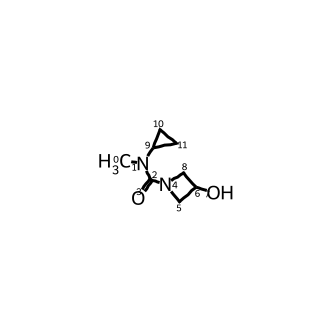 CN(C(=O)N1CC(O)C1)C1CC1